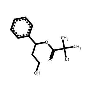 CCC(C)(C)C(=O)OC(CCO)c1ccccc1